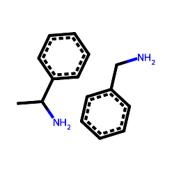 CC(N)c1ccccc1.NCc1ccccc1